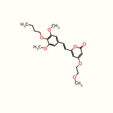 CCCCOc1c(OC)cc(C=Cc2cc(OCCOC)cc(=O)o2)cc1OC